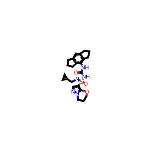 O=C(Nc1c2c(cc3c1CCC3)CCC2)NS(=O)(=NCC1CC1)c1cnn2c1OCCC2